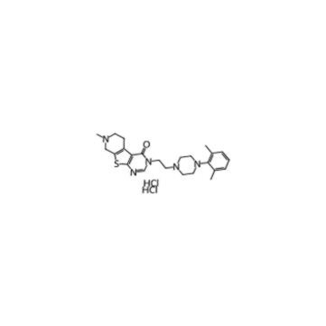 Cc1cccc(C)c1N1CCN(CCn2cnc3sc4c(c3c2=O)CCN(C)C4)CC1.Cl.Cl